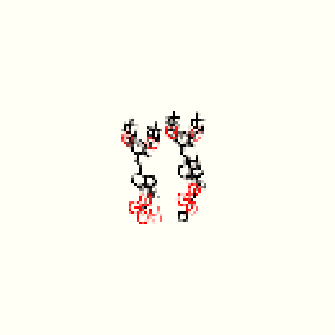 C=C1C(=CC=C2CCC[C@]3(C)C([C@H](C)OCC(=O)O)=CCC23)C[C@@H](O[Si](C)(C)C(C)(C)C)C[C@@H]1O[Si](C)(C)C(C)(C)C.C=C1C(=CC=C2CCC[C@]3(C)C([C@H](C)OCC(=O)OC4CCC4)=CC[C@@H]23)C[C@@H](O[Si](C)(C)C(C)(C)C)C[C@@H]1O[Si](C)(C)C(C)(C)C